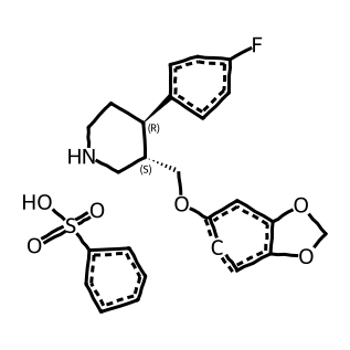 Fc1ccc([C@@H]2CCNC[C@H]2COc2ccc3c(c2)OCO3)cc1.O=S(=O)(O)c1ccccc1